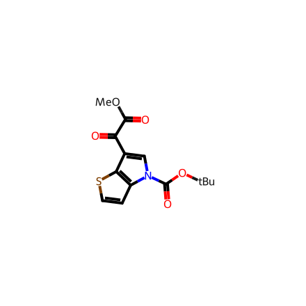 COC(=O)C(=O)c1cn(C(=O)OC(C)(C)C)c2ccsc12